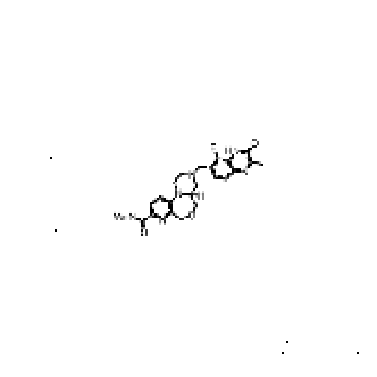 CNC(=O)c1ccc2c(n1)COC[C@H]1CN(Cc3ccc4nc(C)c(=O)[nH]c4c3F)CCN21